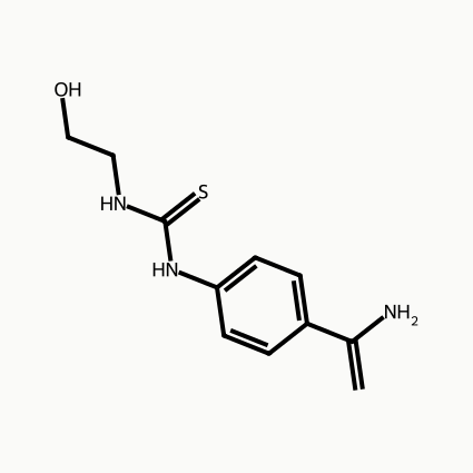 C=C(N)c1ccc(NC(=S)NCCO)cc1